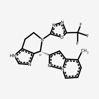 Cc1cccn2nc([C@@H]3c4nc[nH]c4CCN3c3nnc(C(F)(F)F)o3)cc12